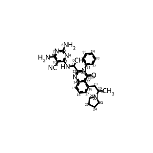 CC(Nc1nc(N)nc(N)c1C#N)c1nc2cccc(CC(C)N3CCCC3)c2c(=O)n1-c1ccccc1